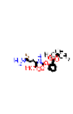 CC(C)(C)OC(=O)c1ccccc1OC(=O)NC(CCC(N)=S)C(=O)O